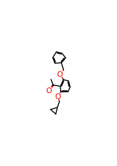 CC(=O)c1c(OCc2ccccc2)cccc1OCC1CC1